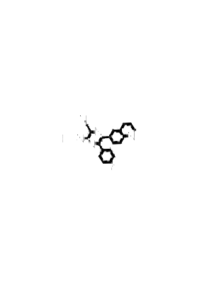 N#Cc1nc(-c2ccc3ncccc3c2)c(-c2ccc(Cl)cc2)nc1N